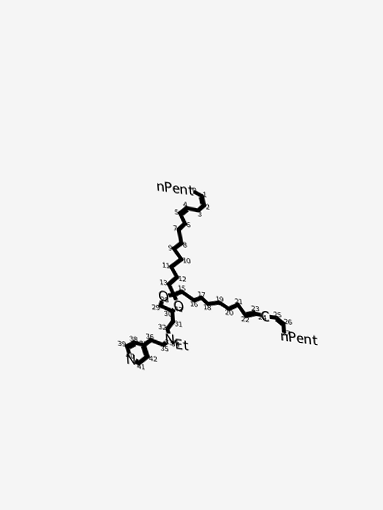 CCCCC/C=C\C/C=C\CCCCCCCCC1(CCCCCCC/C=C/C/C=C\CCCCC)OCC(CCN(CC)CCc2ccncc2)O1